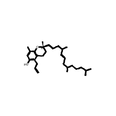 C=CCc1c(O)cc(C)c2c1CC[C@@](C)(CCCC(C)CCCC(C)CCCC(C)C)O2